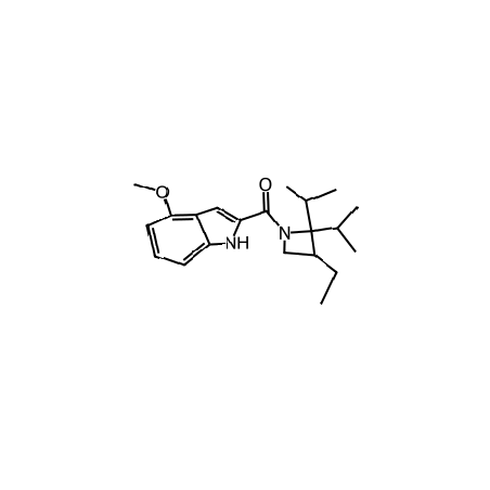 CCC1CN(C(=O)c2cc3c(OC)cccc3[nH]2)C1(C(C)C)C(C)C